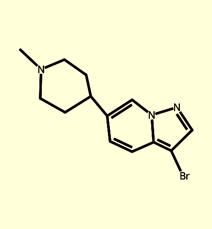 CN1CCC(c2ccc3c(Br)cnn3c2)CC1